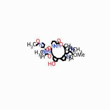 C=CC(=O)N1CC[C@H](C(=O)N(C)C(C(=O)N[C@H]2Cc3cc(O)cc(c3)-c3ccc4c(c3)c(c(-c3cnn(C)c3[C@H](C)OC)n4CC)CC(C)(C)COC(=O)[C@@H]3CCCN(N3)C2=O)C(C)C)C1